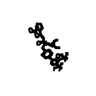 CCN(CC)CCN(Cc1ccc(-c2ccc(C(F)(F)F)cc2OCC(F)(F)F)cc1)C(=O)C=C1OC(=O)N2CCCC12